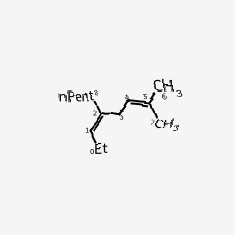 CCC=C(CC=C(C)C)CCCCC